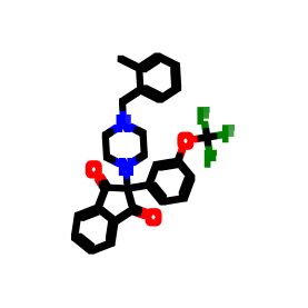 Cc1ccccc1CN1CCN(C2(c3cccc(OC(F)(F)F)c3)C(=O)c3ccccc3C2=O)CC1